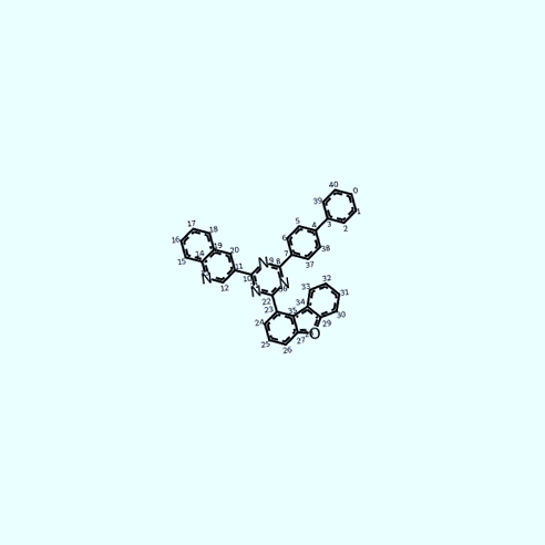 c1ccc(-c2ccc(-c3nc(-c4cnc5ccccc5c4)nc(-c4cccc5oc6ccccc6c45)n3)cc2)cc1